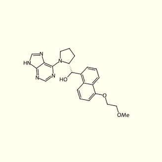 COCCOc1cccc2c(C(O)[C@H]3CCCN3c3ncnc4[nH]cnc34)cccc12